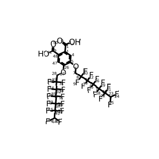 O=C(O)c1cc(OCC(F)(F)C(F)(F)C(F)(F)C(F)(F)C(F)(F)C(F)F)c(OCC(F)(F)C(F)(F)C(F)(F)C(F)(F)C(F)(F)C(F)F)cc1C(=O)O